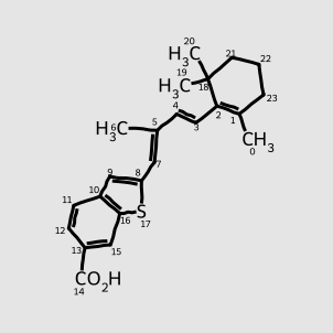 CC1=C(C=C/C(C)=C/c2cc3ccc(C(=O)O)cc3s2)C(C)(C)CCC1